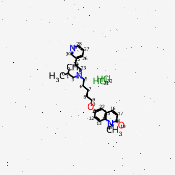 CC(C)CN(CCCCCOc1ccc2c(ccc(=O)n2C)c1)CCc1cccnc1.Cl.Cl